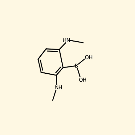 CNc1cccc(NC)c1B(O)O